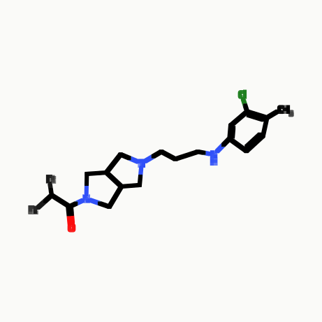 CCC(CC)C(=O)N1CC2CN(CCCNc3ccc(C)c(Cl)c3)CC2C1